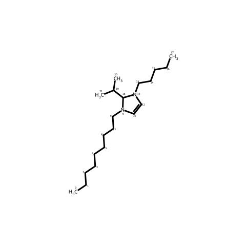 CCCCCCCCCN1C=CN(CCCCC)C1C(C)C